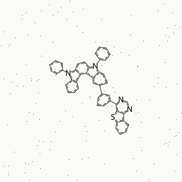 c1ccc(-n2c3ccccc3c3c4c5cc(-c6cccc(-c7ncnc8c7sc7ccccc78)c6)ccc5n(-c5ccccc5)c4ccc32)cc1